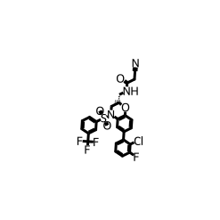 N#CCC(=O)NC[C@H]1CN(S(=O)(=O)c2cccc(C(F)(F)F)c2)c2cc(-c3cccc(F)c3Cl)ccc2O1